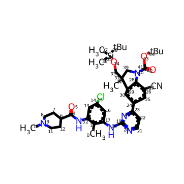 Cc1c(NC(=O)C2CCN(C)CC2)cc(Cl)cc1Nc1nccc(-c2cc(C#N)c3c(c2)[C@@](C)(CO[Si](C)(C)C(C)(C)C)CN3C(=O)OC(C)(C)C)n1